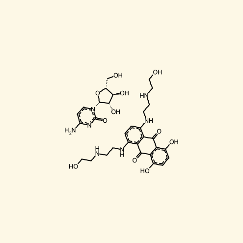 Nc1ccn([C@@H]2O[C@H](CO)[C@@H](O)[C@@H]2O)c(=O)n1.O=C1c2c(O)ccc(O)c2C(=O)c2c(NCCNCCO)ccc(NCCNCCO)c21